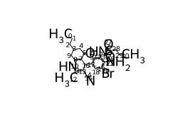 CCCC1CC(=O)C2=C(C1)NC(C)=C(C#N)C2c1cc(Br)c(N)c(NS(=O)(=O)CCC)c1